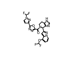 O=C(c1nnc(-c2ccn(C(F)F)n2)o1)N1CCc2[nH]cnc2C1c1cc2c(OC(F)F)cccn2n1